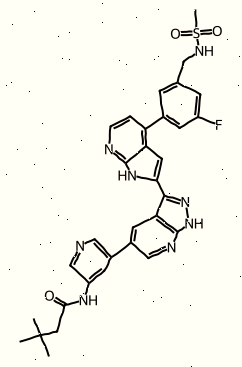 CC(C)(C)CC(=O)Nc1cncc(-c2cnc3[nH]nc(-c4cc5c(-c6cc(F)cc(CNS(C)(=O)=O)c6)ccnc5[nH]4)c3c2)c1